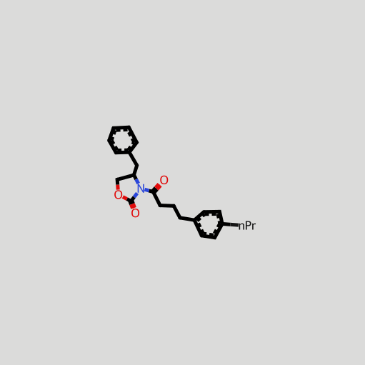 CCCc1ccc(CCCC(=O)N2C(=O)OCC2Cc2ccccc2)cc1